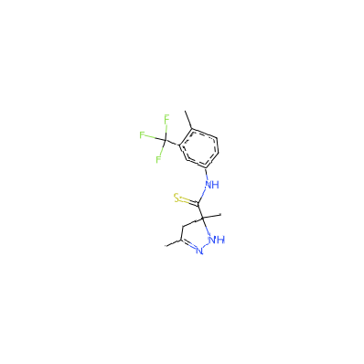 CC1=NNC(C)(C(=S)Nc2ccc(C)c(C(F)(F)F)c2)C1